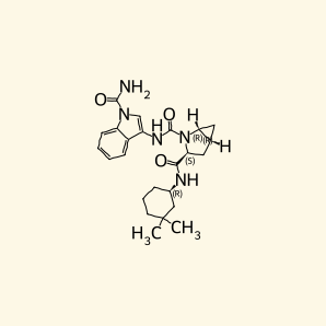 CC1(C)CCC[C@@H](NC(=O)[C@@H]2C[C@H]3C[C@H]3N2C(=O)Nc2cn(C(N)=O)c3ccccc23)C1